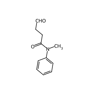 CN(C(=O)CCC=O)c1ccccc1